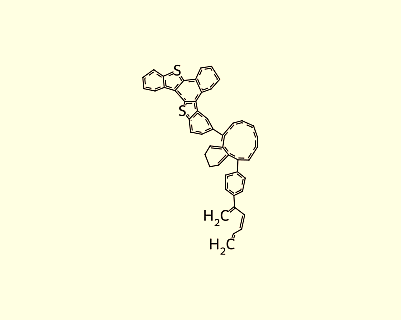 C=C/C=C\C(=C)c1ccc(-c2ccccccc(-c3ccc4sc5c(c4c3)c3ccccc3c3sc4ccccc4c35)c3c2=CCCC=3)cc1